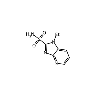 CCn1c(S(N)(=O)=O)nc2ncccc21